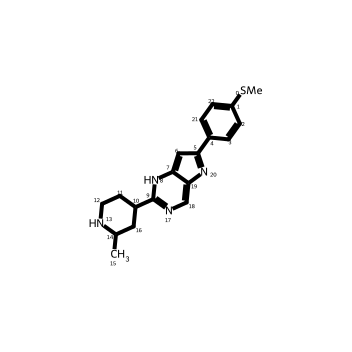 CSc1ccc(-c2cc3[nH]c(C4CCNC(C)C4)ncc-3n2)cc1